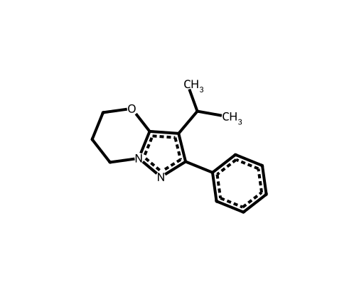 CC(C)c1c(-c2ccccc2)nn2c1OCCC2